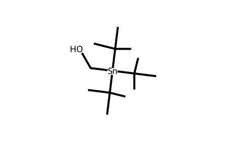 C[C](C)(C)[Sn]([CH2]O)([C](C)(C)C)[C](C)(C)C